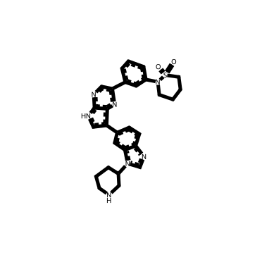 O=S1(=O)CCCCN1c1cccc(-c2cnc3[nH]cc(-c4ccc5ncn(C6CCCNC6)c5c4)c3n2)c1